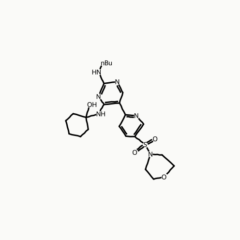 CCCCNc1ncc(-c2ccc(S(=O)(=O)N3CCOCC3)cn2)c(NC2(O)CCCCC2)n1